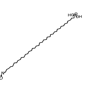 O=C=NCCCCCCCCCCCCCCCCCCCCCCCCCCCCCCCCCCCCCCCP(=O)(O)O